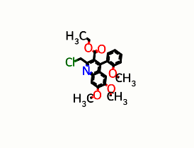 CCOC(=O)c1c(CCl)nc2cc(OC)c(OC)cc2c1-c1ccccc1OC